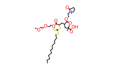 CCCCCCCCCCCCSC(=S)SC(CC(CC(C)(C)C(=O)O)C(=O)OCCN1CCCC1=O)C(=O)OCCOCCOC